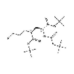 CC(C)(C)OC(=O)N[C@@H](C[C@H](CCCF)C(=O)OC(C)(C)C)C(=O)OC(C)(C)C